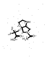 NC(=O)N1CC2NCCOC2C1.O=C(O)C(F)(F)F